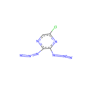 [N-]=[N+]=Nc1ncc(Cl)nc1N=[N+]=[N-]